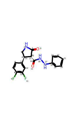 O=C1NC[C@H](c2ccc(F)c(F)c2)[C@H]1C(=O)NNc1ccccc1